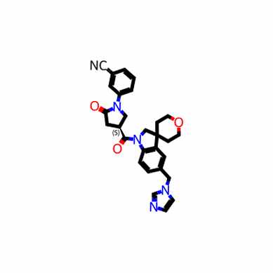 N#Cc1cccc(N2C[C@@H](C(=O)N3CC4(CCOCC4)c4cc(Cn5ccnc5)ccc43)CC2=O)c1